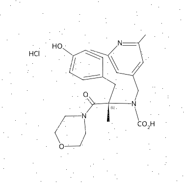 Cc1cc(CN(C(=O)O)[C@@](C)(Cc2ccc(O)cc2)C(=O)N2CCOCC2)cc(C)n1.Cl